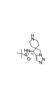 CC(C)(C)[S@@+]([O-])N[C@@H]1c2cnnn2CC12CCNCC2